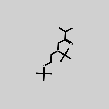 CC(C)C(=O)CN(CCSC(C)(C)C)C(C)(C)C